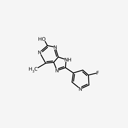 Cc1nc(O)nc2[nH]c(-c3cncc(F)c3)nc12